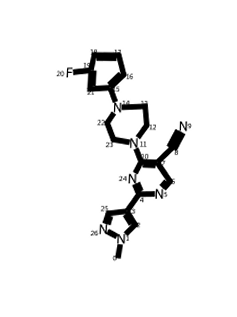 Cn1cc(-c2ncc(C#N)c(N3CCN(c4cccc(F)c4)CC3)n2)cn1